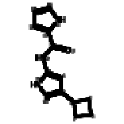 O=C(Nc1cc(C2CCC2)n[nH]1)c1ccc[nH]1